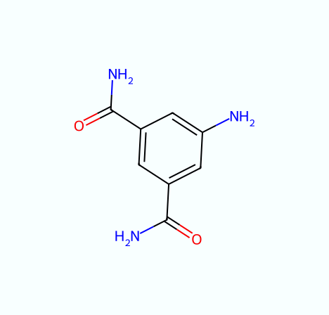 NC(=O)c1cc(N)cc(C(N)=O)c1